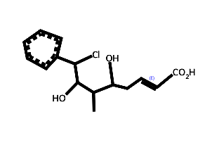 CC(C(O)C/C=C/C(=O)O)C(O)C(Cl)c1ccccc1